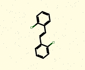 Clc1ccccc1C=Cc1ccccc1Cl